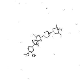 CCC1CC(N2CCC(c3cc(C)c4nc(-c5ccc(OC)c(OC)c5)n(C)c4c3)CC2)CC(C)N1